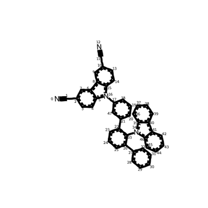 N#Cc1ccc2c(c1)c1cc(C#N)ccc1n2-c1cccc(-c2cccc(-c3ccccc3)c2-n2c3ccccc3c3ccccc32)c1